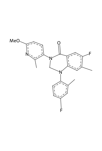 COc1ccc(N2CN(c3ccc(F)cc3C)c3cc(C)c(F)cc3C2=O)c(C)n1